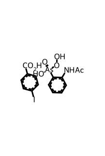 CC(=O)Nc1ccccc1[As](=O)(O)OO.O=C(O)c1ccc(I)cc1